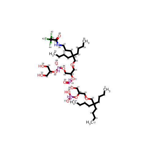 CCCCC(CCCC)(CCCC)COCC(CO[PH](=O)OC(COCC(CCCC)(CCCC)CCCNC(=O)C(F)(F)F)CO[PH](=O)OC(CO)CO)O[PH](=O)O